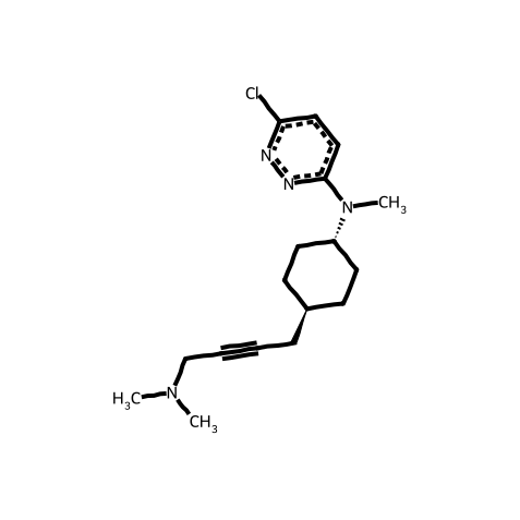 CN(C)CC#CC[C@H]1CC[C@H](N(C)c2ccc(Cl)nn2)CC1